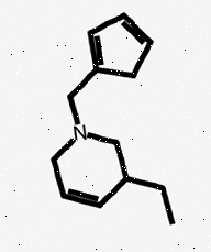 CCC1C=CCN(CC2=CC=CC2)C1